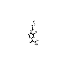 C=C(C(N)=O)c1ccc(OCCOC)c(Cl)c1